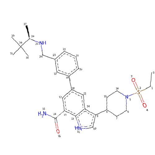 CCS(=O)(=O)N1CCC(c2c[nH]c3c(C(N)=O)cc(-c4cccc(CN[C@H](C)C(C)(C)C)c4)cc23)CC1